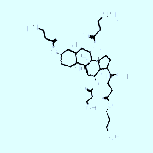 CCCCOC(=O)CCC(C)C1CC[C@H]2[C@@H]3[C@H](OC(=O)CCN)C[C@@H]4C[C@H](OC(=O)CCN)CC[C@]4(C)[C@H]3C[C@H](OC(=O)CCN)[C@]12C